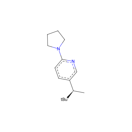 C[C@H](c1ccc(N2CCCC2)nc1)C(C)(C)C